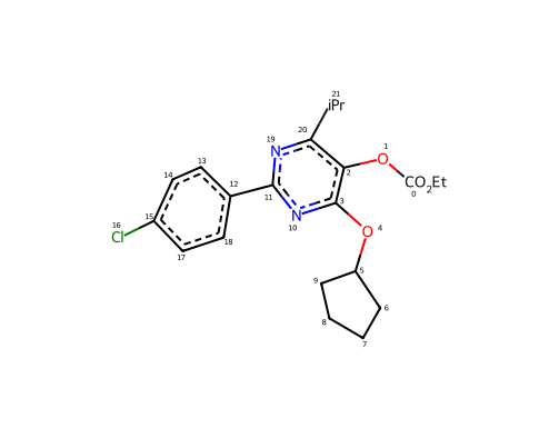 CCOC(=O)Oc1c(OC2CCCC2)nc(-c2ccc(Cl)cc2)nc1C(C)C